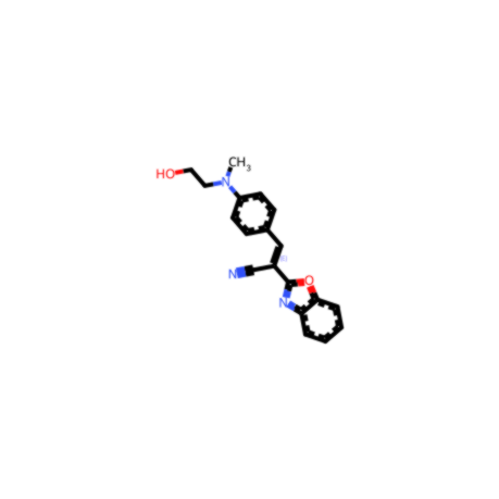 CN(CCO)c1ccc(/C=C(\C#N)c2nc3ccccc3o2)cc1